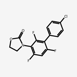 O=C1OCCN1c1c(F)cc(F)c(-c2ccc(Cl)cc2)c1F